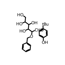 CC(C)(C)c1ccc(O)cc1.O=CC(OCc1ccccc1)C(O)C(O)C(O)CO